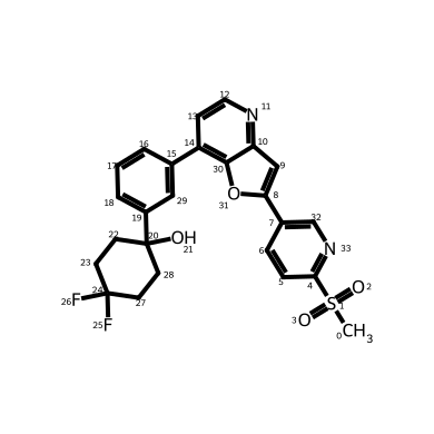 CS(=O)(=O)c1ccc(-c2cc3nccc(-c4cccc(C5(O)CCC(F)(F)CC5)c4)c3o2)cn1